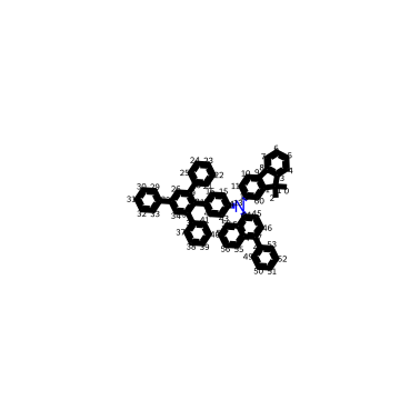 CC1(C)c2ccccc2-c2ccc(N(c3ccc(-c4c(-c5ccccc5)cc(-c5ccccc5)cc4-c4ccccc4)cc3)c3ccc(-c4ccccc4)c4ccccc34)cc21